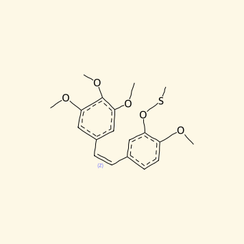 COc1ccc(/C=C\c2cc(OC)c(OC)c(OC)c2)cc1OSC